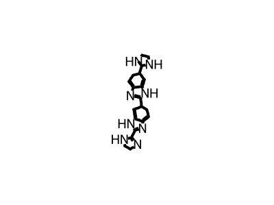 C1=c2nc(C3=NCCN3)[nH]c2=CC(c2nc3c([nH]2)=CC(C2NCCN2)CC=3)C1